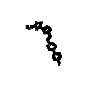 Nc1nc(-c2ccc(CCN3CCN(c4ccc(F)cc4)CC3)s2)cs1